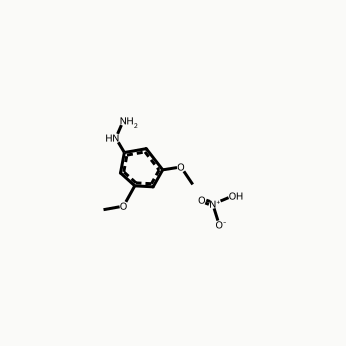 COc1cc(NN)cc(OC)c1.O=[N+]([O-])O